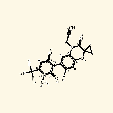 C#CCN1C(=O)C2(CC2)Oc2cc(F)c(-n3c(=O)cc(C(F)(F)F)n(C)c3=O)cc21